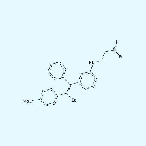 CCC(=C(c1ccccc1)c1cccc(NCCN(CC)CC)c1)c1ccc(OC)cc1